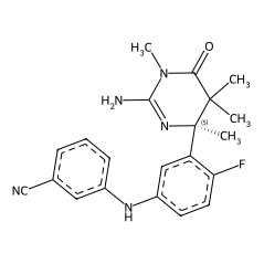 CN1C(=O)C(C)(C)[C@@](C)(c2cc(Nc3cccc(C#N)c3)ccc2F)N=C1N